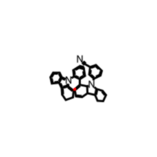 N#Cc1cccc(N2C3=C(CCC=C3)C3C=CC=C(c4cc#ccc4-n4c5c(c6ccccc64)=CCCC=5)C32)c1